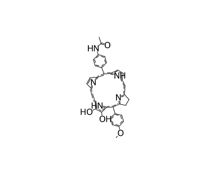 COc1ccc(-c2c3nc(cc4ccc([nH]4)c(-c4ccc(NC(C)=O)cc4)c4nc(cc5[nH]c2c(O)c5O)C=C4)CC3)cc1